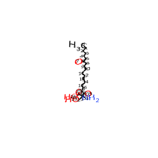 CCCCCCC(=O)CCCCCCCCCCC(=O)C(N)(CO)C(=O)O